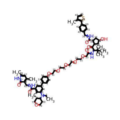 CCN(c1cc(-c2ccc(OCCOCCOCCOCCOCC(=O)NC(C(=O)C3C[C@H](O)C[C@H]3C(=O)NCc3ccc(-c4sccc4C)cc3)C(C)(C)C)cc2)cc(C(=O)NCc2c(C)cc(C)[nH]c2=O)c1C)C1CCOCC1